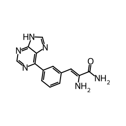 NC(=O)/C(N)=C/c1cccc(-c2ncnc3[nH]cnc23)c1